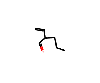 C=CC([C]=O)CCC